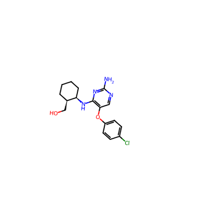 Nc1ncc(Oc2ccc(Cl)cc2)c(N[C@@H]2CCCC[C@@H]2CO)n1